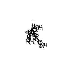 NC(=O)C(Cc1ccccc1F)NC(=O)C(Cc1ccc(O)c(O)c1)NC(=O)C(N)Cc1ccc(O)c(O)c1